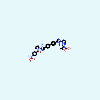 COC(=O)NC1CCC(C(=O)N2CCC[C@H]2c2ncc(-c3ccc(-c4ccc(-c5cnc([C@@H]6CCCN6C[C@@H](NC(=O)O)C(C)C)[nH]5)cc4)cc3)[nH]2)CC1